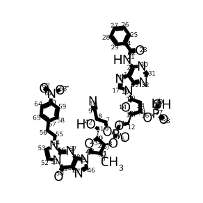 C[C@@H]1[C@H](OP(=O)(OCCC#N)OC[C@H]2O[C@@H](n3cnc4c(NC(=O)c5ccccc5)ncnc43)C[C@@H]2O[PH](=O)O)[C@@H](CO)O[C@H]1n1cnc2c(=O)n3ccn(CCc4ccc([N+](=O)[O-])cc4)c3nc21